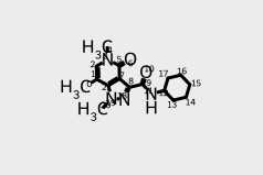 Cc1cn(C)c(=O)c2c(C(=O)NC3CCCCC3)nn(C)c12